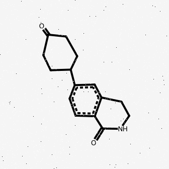 O=C1CCC(c2ccc3c(c2)CCNC3=O)CC1